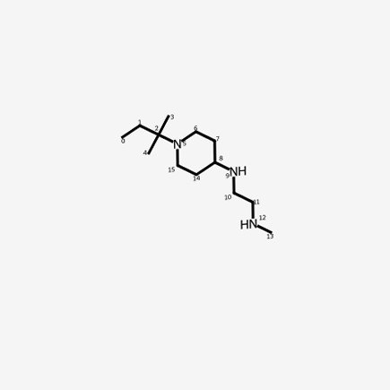 CCC(C)(C)N1CCC(NCCNC)CC1